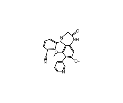 COc1cc2c(c(OC)c1-c1cccnc1)C(c1cccc(C#N)c1)=NCC(=O)N2